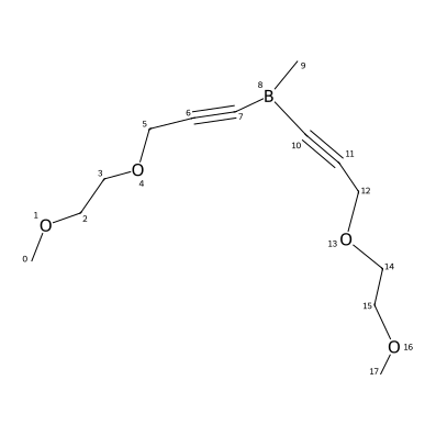 COCCOCC#CB(C)C#CCOCCOC